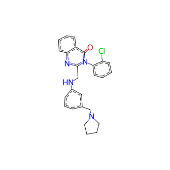 O=c1c2ccccc2nc(CNc2cccc(CN3CCCC3)c2)n1-c1ccccc1Cl